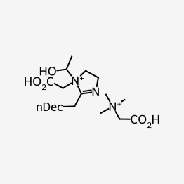 CCCCCCCCCCCC1=NCC[N+]1(CC(=O)O)C(C)O.C[N+](C)(C)CC(=O)O